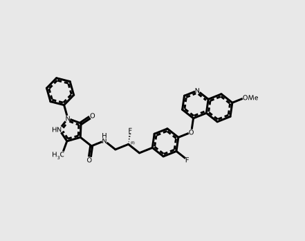 COc1ccc2c(Oc3ccc(C[C@@H](F)CNC(=O)c4c(C)[nH]n(-c5ccccc5)c4=O)cc3F)ccnc2c1